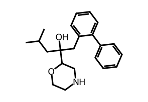 CC(C)CC(O)(Cc1ccccc1-c1ccccc1)C1CNCCO1